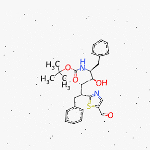 CC(C)(C)OC(=O)N[C@@H](Cc1ccccc1)[C@@H](O)CC(Cc1ccccc1)c1ncc(C=O)s1